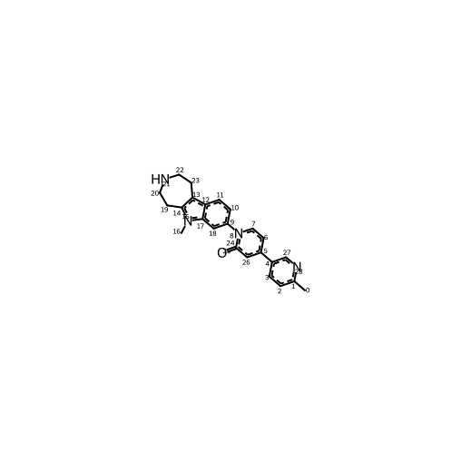 Cc1ccc(-c2ccn(-c3ccc4c5c(n(C)c4c3)CCNCC5)c(=O)c2)cn1